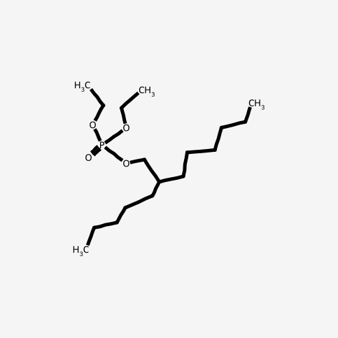 CCCCCCC(CCCCC)COP(=O)(OCC)OCC